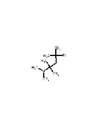 CCC(C)(C)CC(C)(C)N(C)C